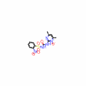 Cc1cc(C)[n+]([O-])c(NC(=O)NS(=O)(=O)c2ccccc2[N+](=O)[O-])n1